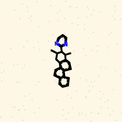 CC1Cc2c(ccc3c2ccc2ccccc23)C(C)C1c1ncccn1